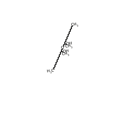 CCCCCCCCCCCCCCCC(CCOCCC(CCCCCCCCCCCCCCC)C(C)O)C(C)O